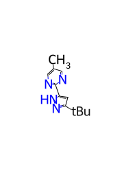 Cc1cnc(-c2cc(C(C)(C)C)n[nH]2)nc1